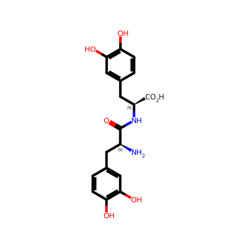 N[C@@H](Cc1ccc(O)c(O)c1)C(=O)N[C@@H](Cc1ccc(O)c(O)c1)C(=O)O